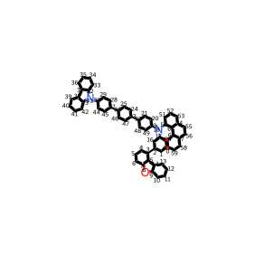 c1cc(-c2cccc3oc4ccccc4c23)cc(N(c2ccc(-c3ccc(-c4ccc(-n5c6ccccc6c6ccccc65)cc4)cc3)cc2)c2cccc3ccc4ccccc4c23)c1